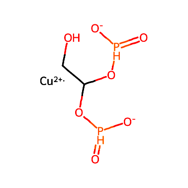 O=[PH]([O-])OC(CO)O[PH](=O)[O-].[Cu+2]